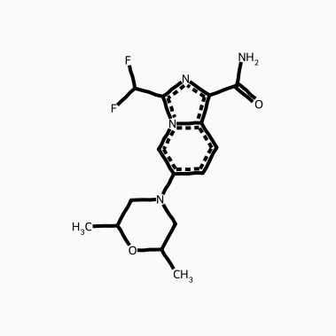 CC1CN(c2ccc3c(C(N)=O)nc(C(F)F)n3c2)CC(C)O1